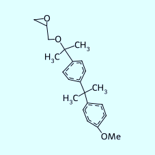 COc1ccc(C(C)(C)c2ccc(C(C)(C)OCC3CO3)cc2)cc1